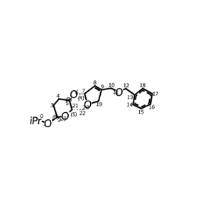 CC(C)O[C@H]1CC[C@@H](O[C@@H]2C=C(COCc3ccccc3)CO2)[C@H](C)O1